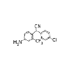 N#CC(c1ccc(Cl)cc1)c1ccc(N)cc1C(F)(F)F